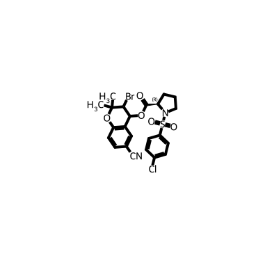 CC1(C)Oc2ccc(C#N)cc2C(OC(=O)[C@H]2CCCN2S(=O)(=O)c2ccc(Cl)cc2)C1Br